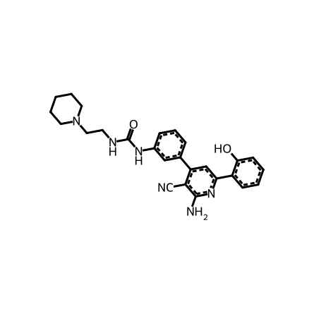 N#Cc1c(-c2cccc(NC(=O)NCCN3CCCCC3)c2)cc(-c2ccccc2O)nc1N